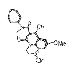 COc1cc2c3c(c1)c(O)c(C(=O)N(C)c1ccccc1)c(=O)n3CC[S+]2[O-]